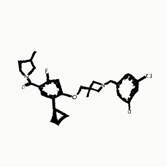 CC1CCN(C(=O)c2cc(C3CC3)c(OCC3(C)CN(Cc4cc(Cl)cc(Cl)c4)C3)cc2F)C1